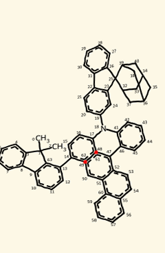 CC1(C)c2ccccc2-c2cccc(-c3ccc(N(c4ccc5c(c4)C4(c6ccccc6-5)C5CC6CC(C5)CC4C6)c4ccccc4-c4cccc5c4ccc4ccccc45)cc3)c21